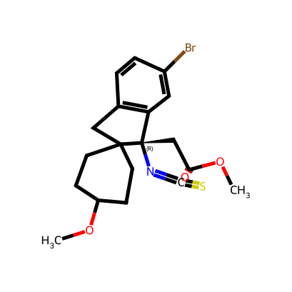 COC(=O)C[C@]1(N=C=S)c2cc(Br)ccc2CC12CCC(OC)CC2